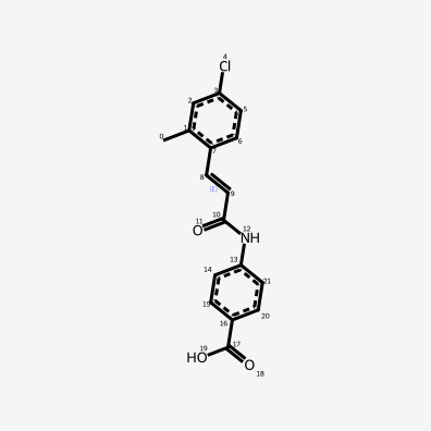 Cc1cc(Cl)ccc1/C=C/C(=O)Nc1ccc(C(=O)O)cc1